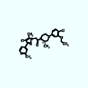 CCOc1cc(N2CCN(C(=O)Cn3nc(-c4ccnc(C)c4)c(Cl)c3C)[C@@H](C)C2)ccc1Cl